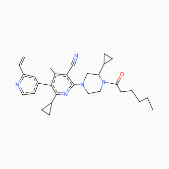 C=Cc1cc(-c2c(C3CC3)nc(N3CCN(C(=O)CCCCC)C(C4CC4)C3)c(C#N)c2C)ccn1